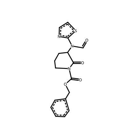 O=CN(c1nccs1)C1CCCN(C(=O)OCc2ccccc2)C1=O